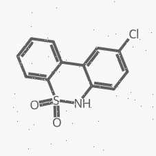 O=S1(=O)Nc2ccc(Cl)cc2-c2ccccc21